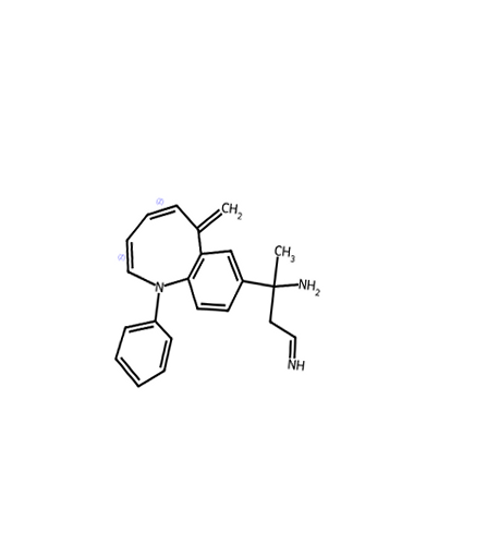 C=C1/C=C\C=C/N(c2ccccc2)c2ccc(C(C)(N)CC=N)cc21